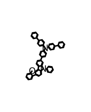 c1ccc(-c2ccc(N(c3ccc(-c4ccccc4)cc3)c3ccc(-c4ccc5c6c7oc8ccccc8c7ccc6n(-c6ccccc6)c5c4)cc3)cc2)cc1